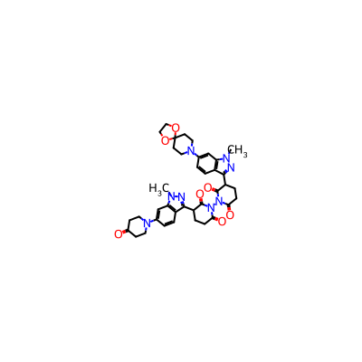 Cn1nc(C2CCC(=O)N(N3C(=O)CCC(c4nn(C)c5cc(N6CCC7(CC6)OCCO7)ccc45)C3=O)C2=O)c2ccc(N3CCC(=O)CC3)cc21